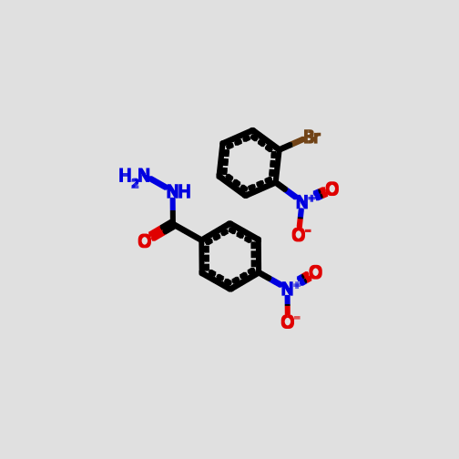 NNC(=O)c1ccc([N+](=O)[O-])cc1.O=[N+]([O-])c1ccccc1Br